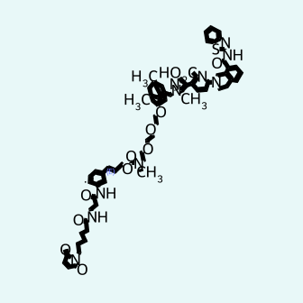 Cc1c(-c2ccc(N3CCc4cccc(C(=O)Nc5nc6ccccc6s5)c4C3)nc2C(=O)O)cnn1CC12CC3(C)CC(C)(C1)CC(OCCOCCOCCN(C)C(=O)OC/C=C/c1cc[c]c(NC(=O)CCNC(=O)CCCCCN4C(=O)C=CC4=O)c1)(C3)C2